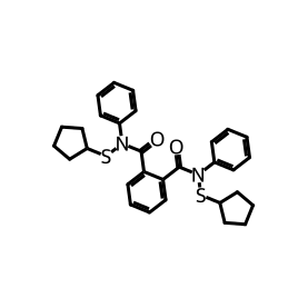 O=C(c1ccccc1C(=O)N(SC1CCCC1)c1ccccc1)N(SC1CCCC1)c1ccccc1